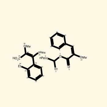 CCCCCC(CC)OC(=O)C(=Cc1ccccc1)OC.CCCCCCC(=C(OC)C(=O)O)c1ccccc1CC